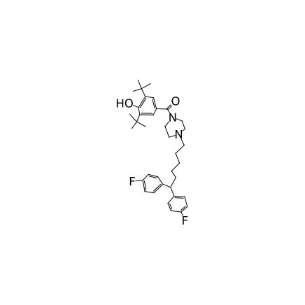 CC(C)(C)c1cc(C(=O)N2CCN(CCCCCC(c3ccc(F)cc3)c3ccc(F)cc3)CC2)cc(C(C)(C)C)c1O